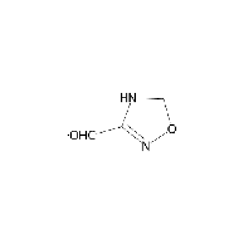 O=[C]C1=NOCN1